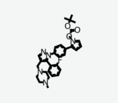 CN1CCN(Cc2cnn(-c3ccc(-c4cccn4OC(=O)OC(C)(C)C)cc3)c2-c2ccccc2F)CC1